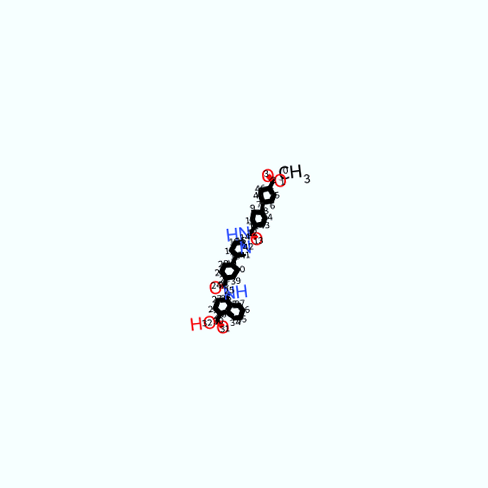 COC(=O)c1ccc(-c2ccc(C(=O)Nc3ccc(-c4ccc(C(=O)Nc5ccc(C(=O)O)c6ccccc56)cc4)cn3)cc2)cc1